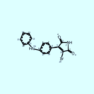 O=C1NC(=O)C(c2ccc(Nc3ccccc3)cc2)=C1Br